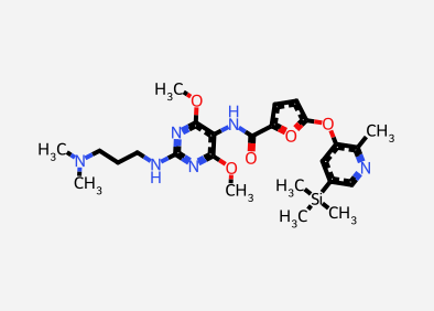 COc1nc(NCCCN(C)C)nc(OC)c1NC(=O)c1ccc(Oc2cc([Si](C)(C)C)cnc2C)o1